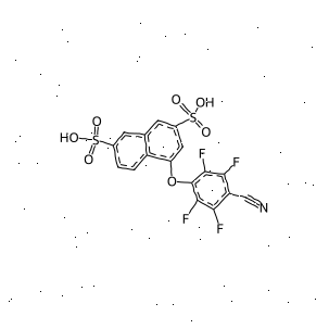 N#Cc1c(F)c(F)c(Oc2cc(S(=O)(=O)O)cc3cc(S(=O)(=O)O)ccc23)c(F)c1F